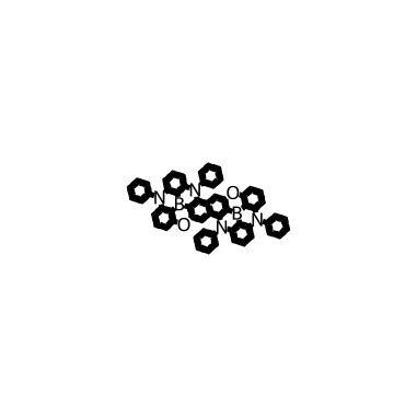 c1ccc(N2c3cccc4c3B3c5c2cccc5N(c2ccccc2)c2c3c(cc3c5c6c(cc23)Oc2cccc3c2B6c2c(cccc2N5c2ccccc2)N3c2ccccc2)O4)cc1